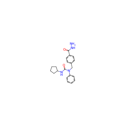 NNC(=O)c1ccc(CN(C(=O)NC2CCCC2)c2ccccc2)cc1